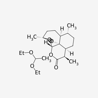 CCOC(C)OCC.C[C@@H]1CC[C@H]2[C@@H](C)C(=O)O[C@@H]3O[C@]4(C)CC[C@@H]1[C@]32OO4